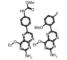 CCOc1nc(N)nc2ncc(-c3cc(F)ccc3OC)nc12.CCOc1nc(N)nc2ncc(-c3ccc(NC(=O)OC)cc3)nc12